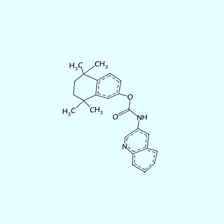 CC1(C)CCC(C)(C)c2cc(OC(=O)Nc3cnc4ccccc4c3)ccc21